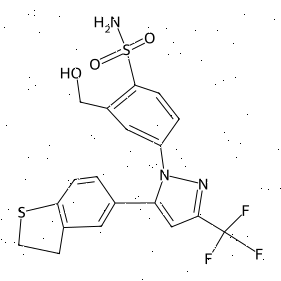 NS(=O)(=O)c1ccc(-n2nc(C(F)(F)F)cc2-c2ccc3c(c2)CCS3)cc1CO